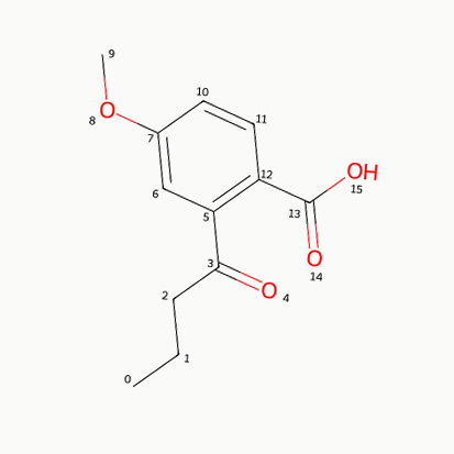 CCCC(=O)c1cc(OC)ccc1C(=O)O